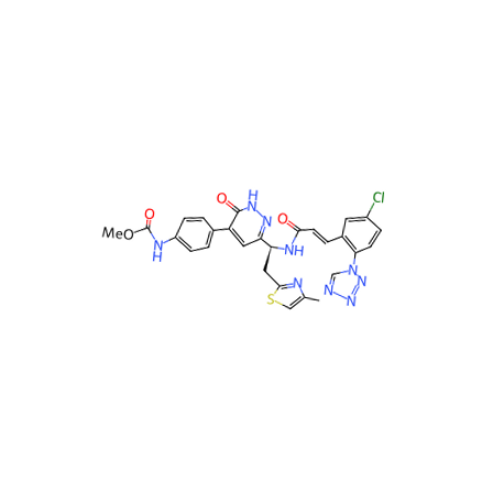 COC(=O)Nc1ccc(-c2cc([C@H](Cc3nc(C)cs3)NC(=O)/C=C/c3cc(Cl)ccc3-n3cnnn3)n[nH]c2=O)cc1